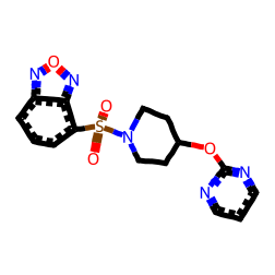 O=S(=O)(c1cccc2nonc12)N1CCC(Oc2ncccn2)CC1